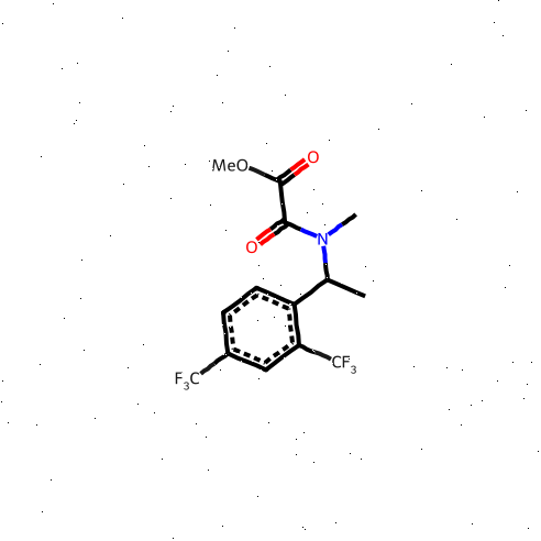 COC(=O)C(=O)N(C)C(C)c1ccc(C(F)(F)F)cc1C(F)(F)F